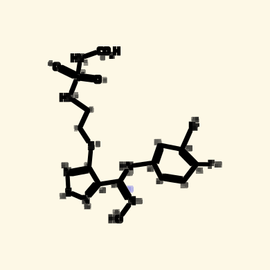 O=C(O)NS(=O)(=O)NCCSc1nsnc1/C(=N\O)Nc1ccc(F)c(Br)c1